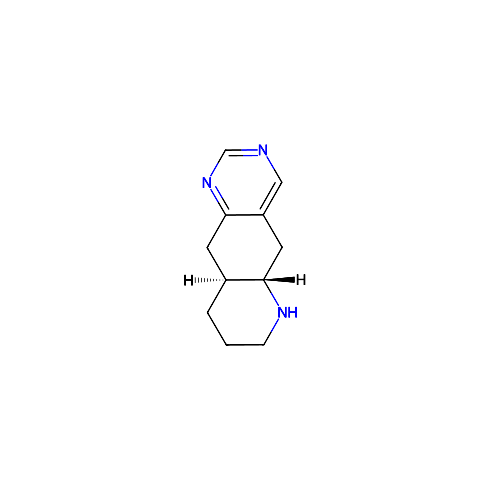 c1ncc2c(n1)C[C@@H]1CCCN[C@H]1C2